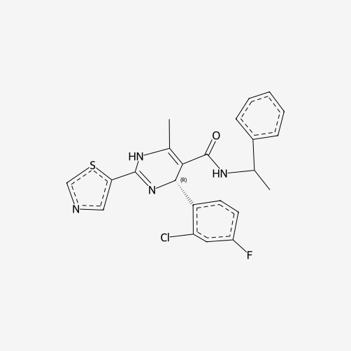 CC1=C(C(=O)NC(C)c2ccccc2)[C@H](c2ccc(F)cc2Cl)N=C(c2cncs2)N1